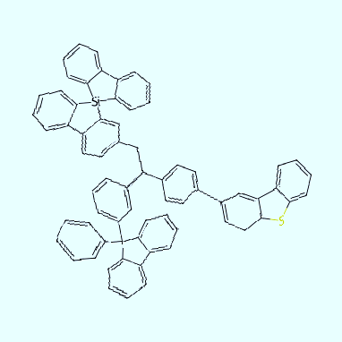 C1=C(c2ccc(C(Cc3ccc4c(c3)[Si]3(c5ccccc5-c5ccccc53)c3ccccc3-4)c3cccc(C4(c5ccccc5)c5ccccc5-c5ccccc54)c3)cc2)C=C2c3ccccc3SC2C1